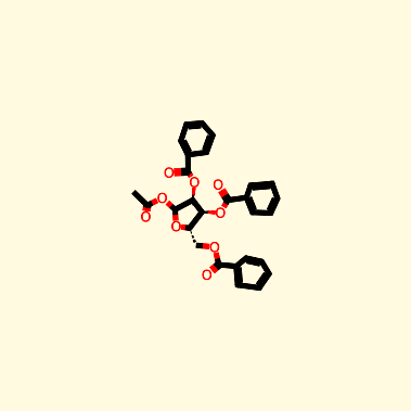 CC(=O)OC1O[C@@H](COC(=O)c2ccccc2)[C@H](OC(=O)c2ccccc2)[C@@H]1OC(=O)c1ccccc1